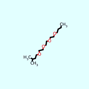 CCCCOCCOCCOCCOCCC(C)C